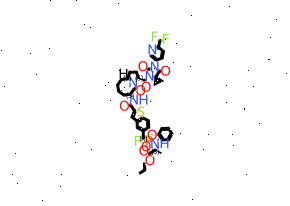 CCCOC(=O)[C@H](C)NP(=O)(Oc1ccccc1)[C@@H](F)c1ccc2sc(C(=O)N[C@H]3CCCC[C@H]4CC[C@@H](C(=O)N5C(=O)N(c6ccc(C(F)F)nc6)C(=O)C56CC6)N4C3=O)cc2c1